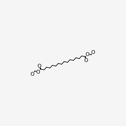 O=COC(=O)CCCCCCCCCCCCCCC(=O)OC=O